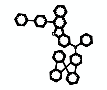 c1ccc(-c2ccc(-c3c4ccccc4cc4c3oc3ccc(N(c5ccccc5)c5ccc6c(c5)C5(c7ccccc7-c7ccccc75)c5ccccc5-6)cc34)cc2)cc1